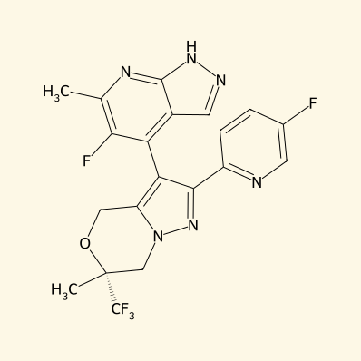 Cc1nc2[nH]ncc2c(-c2c(-c3ccc(F)cn3)nn3c2CO[C@@](C)(C(F)(F)F)C3)c1F